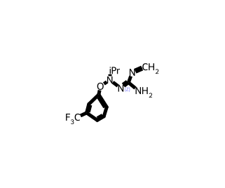 C=N/C(N)=N\N(Oc1cccc(C(F)(F)F)c1)C(C)C